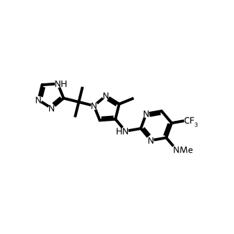 CNc1nc(Nc2cn(C(C)(C)c3nnc[nH]3)nc2C)ncc1C(F)(F)F